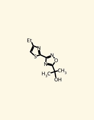 CCc1csc(-c2noc(C(C)(C)O)n2)n1